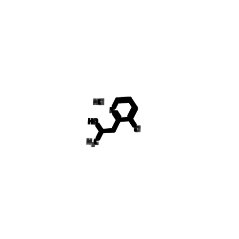 CC(O)Cc1ncccc1Cl.Cl